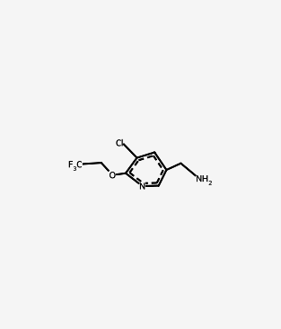 NCc1cnc(OCC(F)(F)F)c(Cl)c1